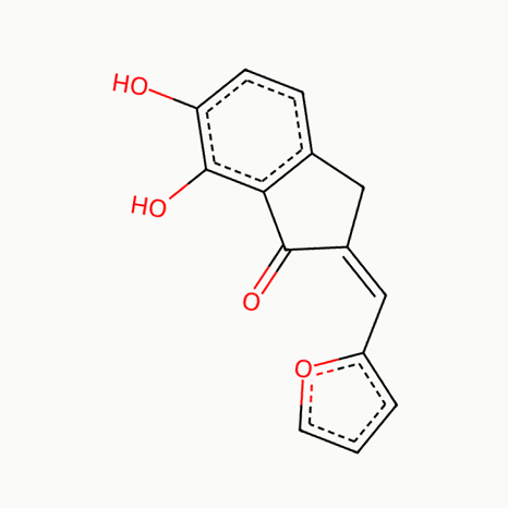 O=C1C(=Cc2ccco2)Cc2ccc(O)c(O)c21